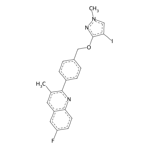 Cc1cc2cc(F)ccc2nc1-c1ccc(COc2nn(C)cc2I)cc1